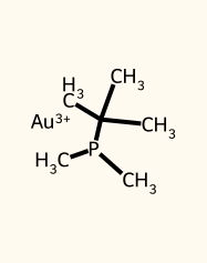 CP(C)C(C)(C)C.[Au+3]